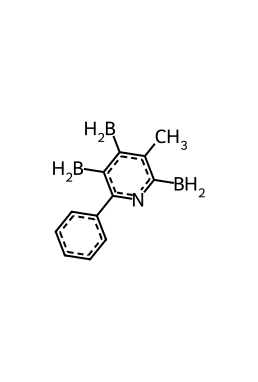 Bc1nc(-c2ccccc2)c(B)c(B)c1C